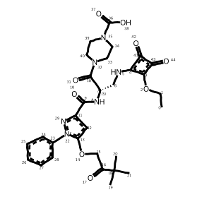 CCOc1c(NC[C@H](NC(=O)c2cc(OCC(=O)C(C)(C)C)n(-c3ccccc3)n2)C(=O)N2CCN(C(=O)O)CC2)c(=O)c1=O